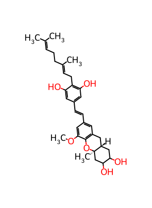 COc1cc(/C=C/c2cc(O)c(C/C=C(\C)CCC=C(C)C)c(O)c2)cc2c1O[C@]1(C)CC(O)C(O)C[C@H]1C2